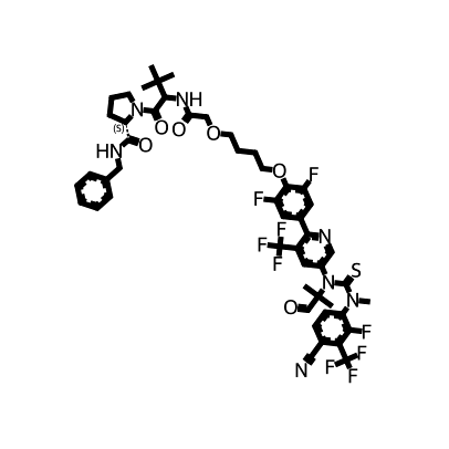 CN(C(=S)N(c1cnc(-c2cc(F)c(OCCCCOCC(=O)NC(C(=O)N3CCC[C@H]3C(=O)NCc3ccccc3)C(C)(C)C)c(F)c2)c(C(F)(F)F)c1)C(C)(C)C=O)c1ccc(C#N)c(C(F)(F)F)c1F